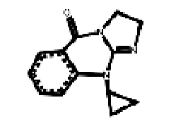 O=C1c2ccccc2N(C2CC2)C2=NCCN12